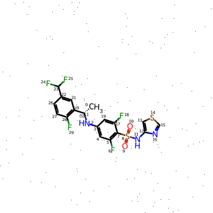 C[C@H](Nc1cc(F)c(S(=O)(=O)Nc2cscn2)c(F)c1)c1cc(C(F)F)ccc1F